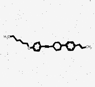 CCCCCCOc1ccc(C#CC2CCC(c3ccc(CCC)cc3)CC2)cc1